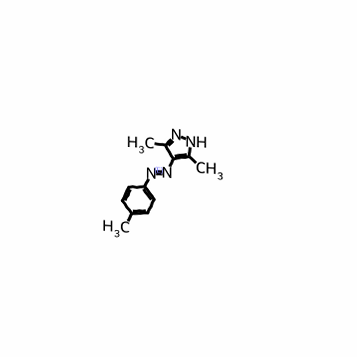 Cc1ccc(/N=N/c2c(C)n[nH]c2C)cc1